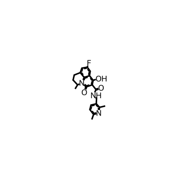 Cc1ccc(CNC(=O)c2c(O)c3cc(F)cc4c3n(c2=O)C(C)CC4)c(C)n1